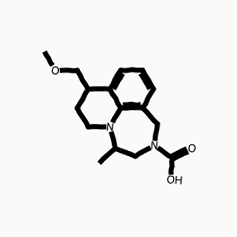 COCC1CCN2c3c(cccc31)CN(C(=O)O)CC2C